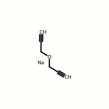 C#CCOCC#C.[Na]